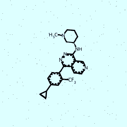 CN1CCC[C@@H](Nc2nnc(-c3ccc(C4CC4)cc3C(F)(F)F)c3ccncc23)C1